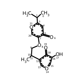 CC(C)c1cc(=O)c(OCC(C)c2cocc(O)c2=O)co1